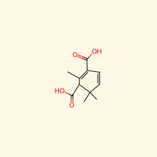 CC1=C(C(=O)O)C=CC(C)(C)C1C(=O)O